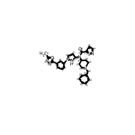 Cc1nnc(-c2cccc(N3C=CC(N(C(=O)c4ccns4)C4CCN(Cc5ccccc5)CC4)N3)c2)o1